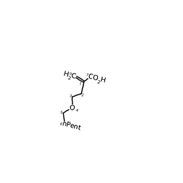 C=C(CCOCCCCCC)C(=O)O